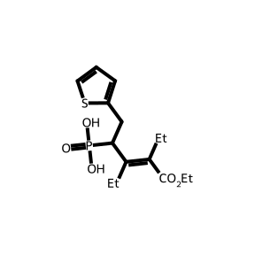 CCOC(=O)C(CC)=C(CC)C(Cc1cccs1)P(=O)(O)O